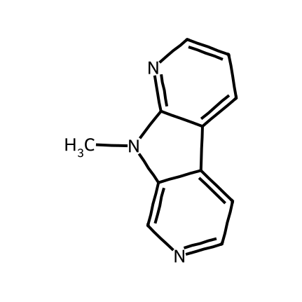 Cn1c2cnccc2c2cccnc21